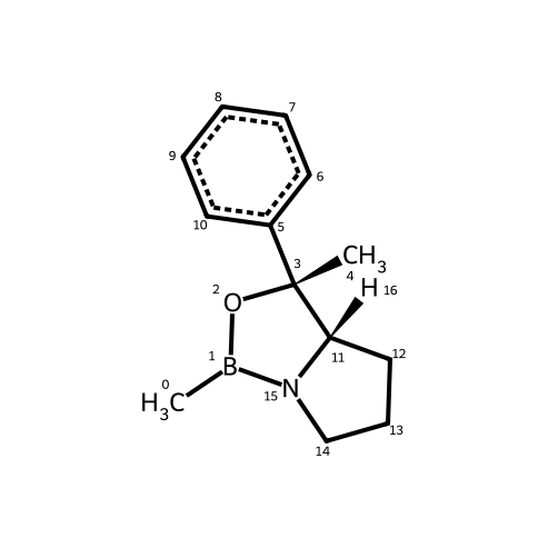 CB1O[C@](C)(c2ccccc2)[C@@H]2CCCN12